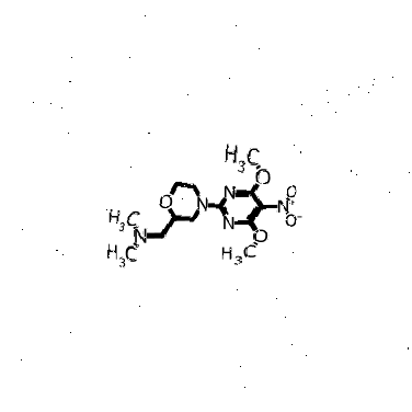 COc1nc(N2CCOC(CN(C)C)C2)nc(OC)c1[N+](=O)[O-]